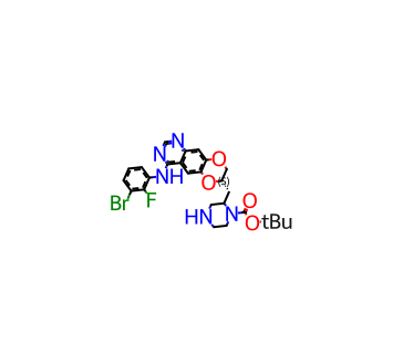 CC(C)(C)OC(=O)N1CCNCC1C[C@H]1COc2cc3ncnc(Nc4cccc(Br)c4F)c3cc2O1